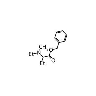 CCC(C(=O)OCc1ccccc1)N(C)CC